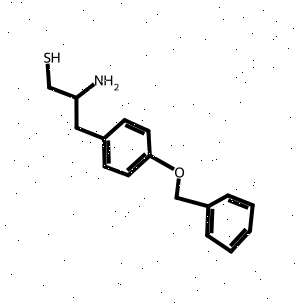 NC(CS)Cc1ccc(OCc2ccccc2)cc1